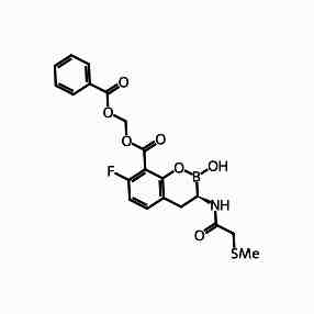 CSCC(=O)N[C@H]1Cc2ccc(F)c(C(=O)OCOC(=O)c3ccccc3)c2OB1O